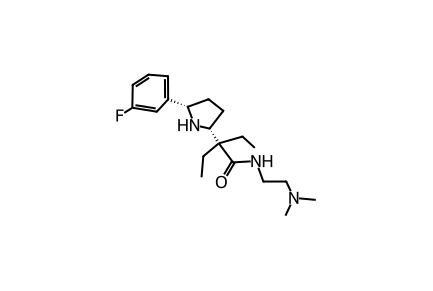 CCC(CC)(C(=O)NCCN(C)C)[C@H]1CC[C@@H](c2cccc(F)c2)N1